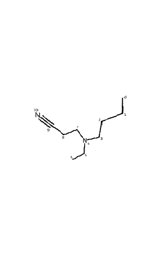 CCCCN(CC)CCC#N